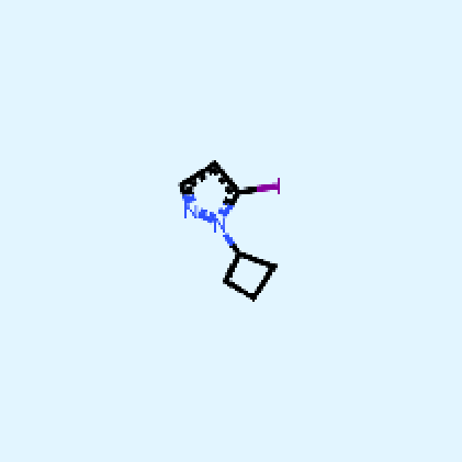 Ic1ccnn1C1CCC1